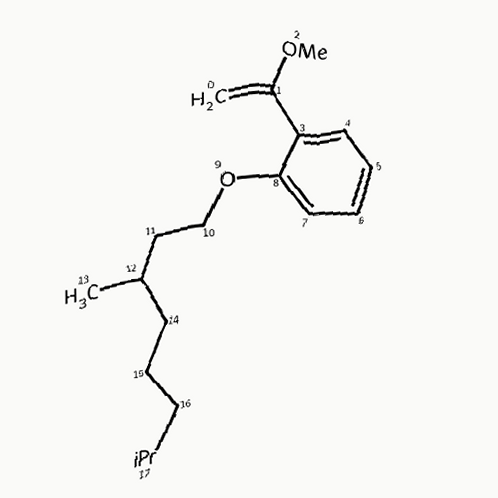 C=C(OC)c1ccccc1OCCC(C)CCCC(C)C